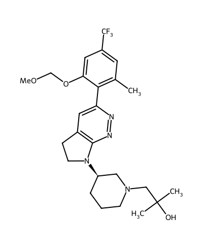 COCOc1cc(C(F)(F)F)cc(C)c1-c1cc2c(nn1)N([C@@H]1CCCN(CC(C)(C)O)C1)CC2